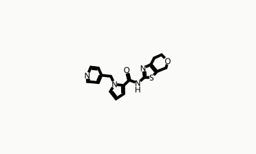 O=C(Nc1nc2c(s1)COCC2)c1cccn1Cc1ccncc1